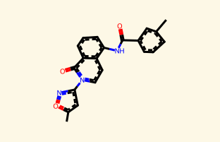 Cc1cccc(C(=O)Nc2cccc3c(=O)n(-c4cc(C)on4)ccc23)c1